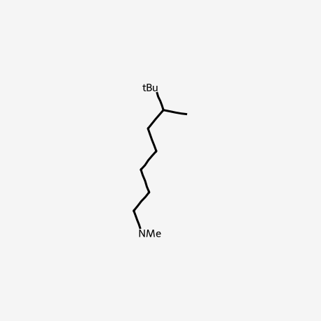 CNCCCCCC(C)C(C)(C)C